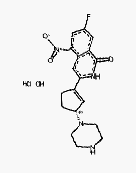 Cl.Cl.O=c1[nH]c(C2=C[C@H](N3CCNCC3)CC2)cc2c([N+](=O)[O-])cc(F)cc12